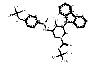 CC(C)(C)OC(=O)N1CC(N[S+]([O-])c2ccc(OC(F)(F)F)cc2)C(O)C(n2c3ccccc3c3ccccc32)C1